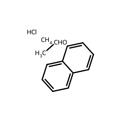 C.CC=O.Cl.c1ccc2ccccc2c1